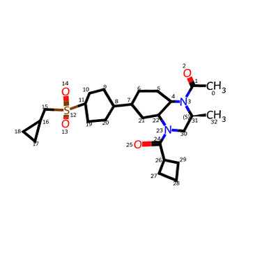 CC(=O)N1C2CCC(C3CCC(S(=O)(=O)CC4CC4)CC3)CC2N(C(=O)C2CCC2)C[C@@H]1C